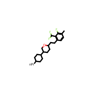 CCCC1CCC(C2CCC(CCc3ccc(C)c(F)c3C(F)F)OC2)CC1